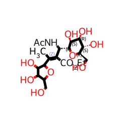 CCOC(=O)/C(=C(/C)C1OC(CO)C(O)C1O)C(NC(C)=O)[C@H]1O[C@H](CO)[C@@H](O)[C@H](O)[C@@H]1O